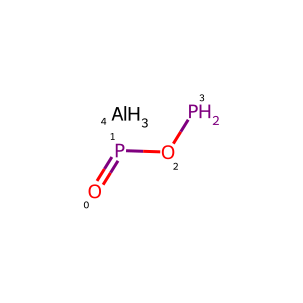 O=POP.[AlH3]